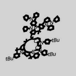 CC(C)(C)c1ccc(N2c3cc4c5cc3B3c6cc7c8cc(cc9c8n(c7cc6C(C)(C)c6cccc2c63)-c2ccc(C(C)(C)C)cc2C9(C)C)C(C)(C)CC(C)(Cc2cc3c6c(c2)C(C)(C)c2cc7c(cc2B6c2cc6c8ccccc8n(-c8ccccc8)c6cc2N3c2ccccc2)c2cccc3c2n7-c2ccccc2N3c2ccccc2)c2ccc(c5c2)n4-c2ccc(C(C)(C)C)cc2)cc1